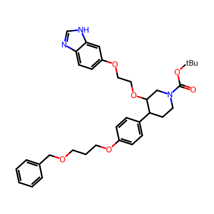 CC(C)(C)OC(=O)N1CCC(c2ccc(OCCCOCc3ccccc3)cc2)C(OCCOc2ccc3nc[nH]c3c2)C1